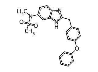 CN(c1ccc2nc(Cc3ccc(Oc4ccccc4)cc3)[nH]c2c1)S(C)(=O)=O